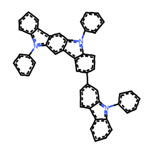 c1ccc(-n2c3ccccc3c3ccc(-c4ccc5c(c4)c4cc6c(cc4n5-c4ccccc4)c4ccccc4n6-c4ccccc4)cc32)cc1